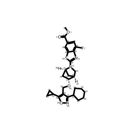 COC(=O)c1cc(F)c2nc(N3C[C@@H]4C[C@H]3C[C@H]4OCc3c(C4CCCCC4)noc3C3CC3)sc2c1